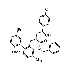 COc1ccc(C(C)C)cc1-c1ccc(C(F)(F)F)cc1CN(CC(O)c1ccc(Cl)cc1)C(=O)OCc1ccccc1